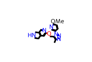 COc1ccc(-n2nnc(C)c2COc2cc3c(cn2)CNCC3)cn1